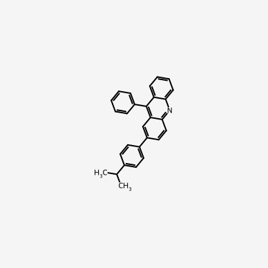 CC(C)c1ccc(-c2ccc3nc4ccccc4c(-c4ccccc4)c3c2)cc1